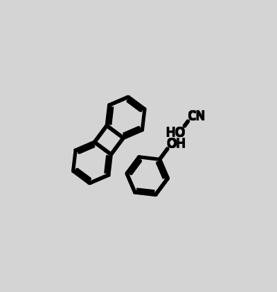 N#CO.Oc1ccccc1.c1ccc2c(c1)-c1ccccc1-2